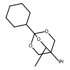 CC(C)C12COC(C3CCCCC3)(OC1)OC2C